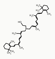 CC(C=CC1=C(C)CCCC1(C)C)=CC=CC(C)=CCN(CC=C(C)C=CC=C(C)C=CC1=C(C)CCCC1(C)C)CCO